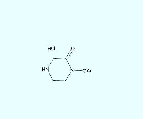 CC(=O)ON1CCNCC1=O.Cl